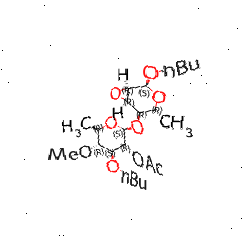 CCCCO[C@H]1O[C@H](C)[C@@H](O[C@@H]2O[C@H](C)[C@@H](OC)[C@H](OCCCC)[C@H]2OC(C)=O)[C@H]2O[C@@H]12